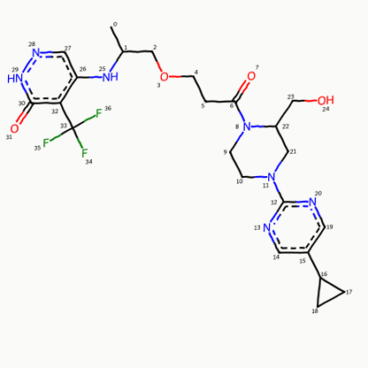 CC(COCCC(=O)N1CCN(c2ncc(C3CC3)cn2)CC1CO)Nc1cn[nH]c(=O)c1C(F)(F)F